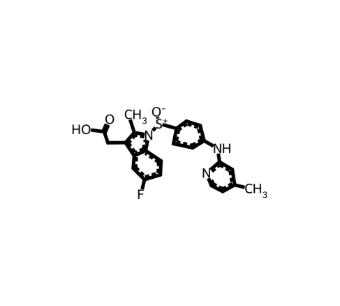 Cc1ccnc(Nc2ccc([S+]([O-])n3c(C)c(CC(=O)O)c4cc(F)ccc43)cc2)c1